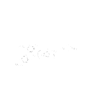 COc1c(C)cnc(CN2C(=O)C(=Cc3[nH]c(C)c(C(=O)NCCN4CCN(C(C)C)CC4)c3C)c3c(Cl)nc(N)nc32)c1C